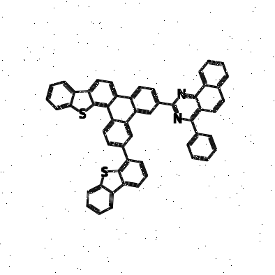 c1ccc(-c2nc(-c3ccc4c(c3)c3cc(-c5cccc6c5sc5ccccc56)ccc3c3c4ccc4c5ccccc5sc43)nc3c2ccc2ccccc23)cc1